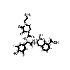 NCCN1CCN(C(=O)N[C@H](C(=O)N[C@H]2Cc3cccc(C(=O)O)c3OB2O)c2cc(F)c(O)c(F)c2)C(=O)C1=O